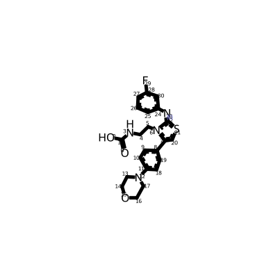 O=C(O)NCCn1c(-c2ccc(N3CCOCC3)cc2)cs/c1=N/c1cccc(F)c1